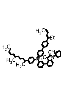 C=C/C=C\C=C(/C)CCCC(=C)c1ccc(N(c2ccc(-c3ccc(/C(=C/C=C\C)CC)cc3)cc2)c2cccc(-c3cccc4c3c(C)c(C)n4-c3ccccc3)c2)cc1